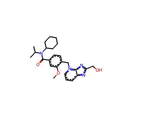 COc1cc(C(=O)N(C(C)C)C2CCCCC2)ccc1Cn1cccc2nc(CO)nc1-2